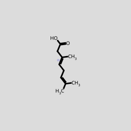 CC(C)=CC/C=C(\C)CC(=O)O